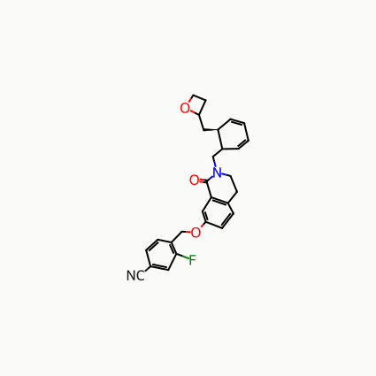 N#Cc1ccc(COc2ccc3c(c2)C(=O)N(CC2C=CC=C[C@@H]2CC2CCO2)CC3)c(F)c1